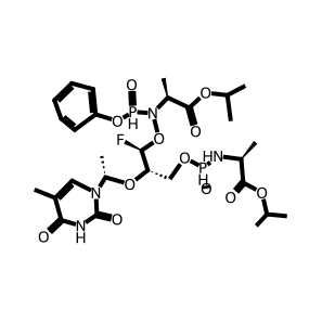 Cc1cn([C@H](C)O[C@@H](CO[PH](=O)N[C@@H](C)C(=O)OC(C)C)[C@@H](F)ON([C@@H](C)C(=O)OC(C)C)[PH](=O)Oc2ccccc2)c(=O)[nH]c1=O